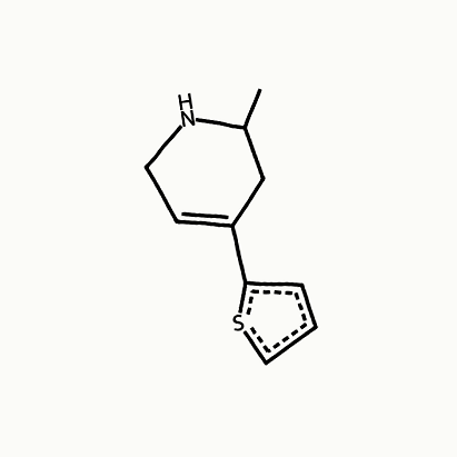 CC1CC(c2cccs2)=CCN1